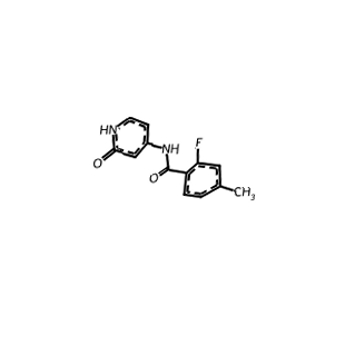 Cc1ccc(C(=O)Nc2cc[nH]c(=O)c2)c(F)c1